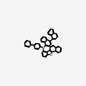 c1ccc(-c2ccc(N(c3ccc(-c4cccc5ccccc45)c4ccccc34)c3cccc4oc5c6ccccc6ccc5c34)cc2)cc1